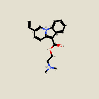 C=Cc1ccc2c(C(=O)OCCN(C)C)c3ccccc3n2c1